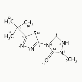 CN1NCN(c2nnc(C(C)(C)C)s2)C1=O